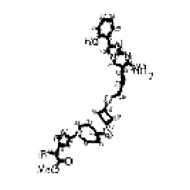 COC(=O)C(c1cc(N2CCC(O[C@H]3C[C@H](OCC#Cc4cn5cc(-c6ccccc6O)nc5nc4N)C3)CC2)no1)C(C)C